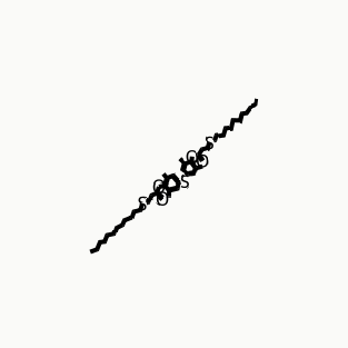 CCCCCCCCCCCCSCCC(=O)Oc1c(C)cc(Sc2cc(C)c(OC(=O)CCSCCCCCCCCCCCC)c(C)c2)cc1C